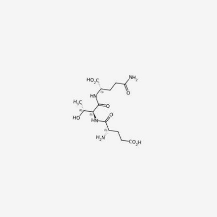 C[C@@H](O)[C@H](NC(=O)[C@@H](N)CCC(=O)O)C(=O)N[C@@H](CCC(N)=O)C(=O)O